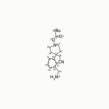 CC(C)(C)C(=O)ON1CCC(CC#N)(c2cccc(CN)c2)CC1